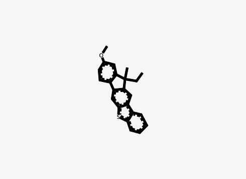 CCC1(C)c2cc(OC)ccc2-c2cc3sc4ccccc4c3cc21